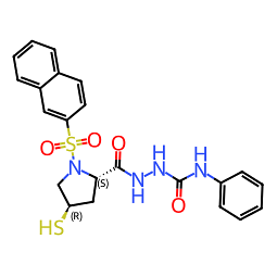 O=C(NNC(=O)[C@@H]1C[C@@H](S)CN1S(=O)(=O)c1ccc2ccccc2c1)Nc1ccccc1